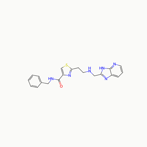 O=C(NCc1ccccc1)c1csc(CCNCc2nc3cccnc3[nH]2)n1